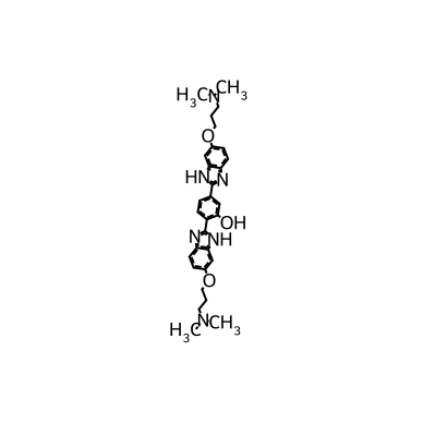 CN(C)CCCOc1ccc2nc(-c3ccc(-c4nc5ccc(OCCCN(C)C)cc5[nH]4)c(O)c3)[nH]c2c1